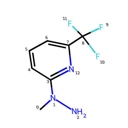 CN(N)c1cccc(C(F)(F)F)n1